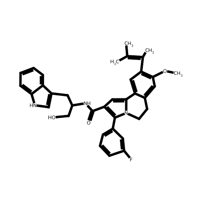 COc1cc2c(cc1C(C)=C(C)C)-c1cc(C(=O)NC(CO)Cc3c[nH]c4ccccc34)c(-c3cccc(F)c3)n1CC2